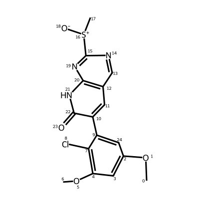 COc1cc(OC)c(Cl)c(-c2cc3cnc([S+](C)[O-])nc3[nH]c2=O)c1